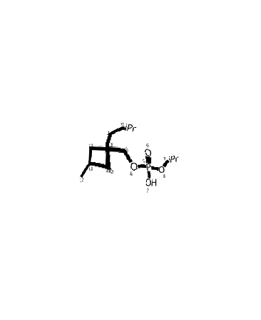 CC(C)CC1(COP(=O)(O)OC(C)C)CC(C)C1